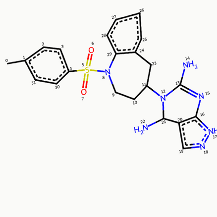 Cc1ccc(S(=O)(=O)N2CCC(N3C(N)=Nc4[nH]ncc4C3N)Cc3ccccc32)cc1